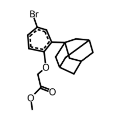 COC(=O)COc1ccc(Br)cc1C12CC3CC(CC(C3)C1)C2